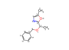 Cc1cnc(C(C)OCc2ccccc2)o1